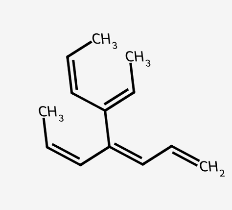 C=C/C=C(/C=C\C)C(\C=C/C)=C\C